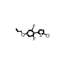 C=CCOc1cc(F)c(-c2ccc(Cl)s2)c(F)c1